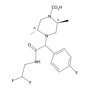 C[C@@H]1CN(C(=O)O)[C@@H](C)CN1C(C(=O)NCC(F)F)c1ccc(F)cc1